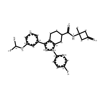 CC1(NC(=O)C2CCc3c(-c4cncc(OC(F)F)c4)nn(-c4ccc(F)cn4)c3C2)CC(=S)C1